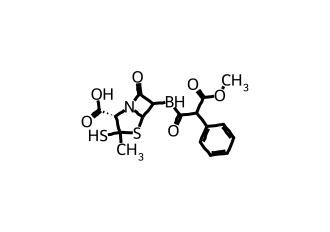 COC(=O)C(C(=O)BC1C(=O)N2C1SC(C)(S)[C@@H]2C(=O)O)c1ccccc1